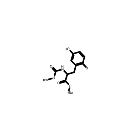 CC(C)(C)OC(=O)NC(Cc1cc(O)ccc1F)C(=O)OC(C)(C)C